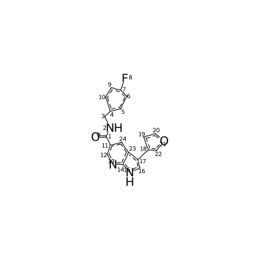 O=C(NCc1ccc(F)cc1)c1cnc2[nH]cc(-c3ccoc3)c2c1